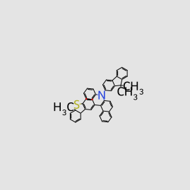 CC1(C)c2ccccc2-c2ccc(N(c3ccccc3)c3ccc4ccccc4c3-c3ccc4c(c3)C3C=CC=CC3(C)S4)cc21